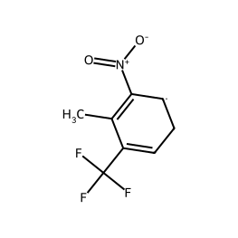 CC1=C([N+](=O)[O-])[CH]CC=C1C(F)(F)F